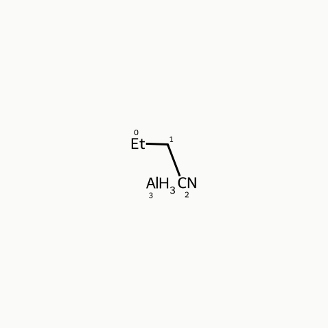 CCCC#N.[AlH3]